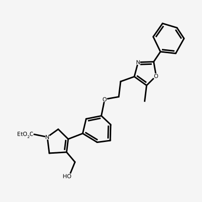 CCOC(=O)N1CC(CO)=C(c2cccc(OCCc3nc(-c4ccccc4)oc3C)c2)C1